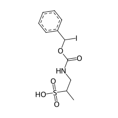 CC(CNC(=O)OC(I)c1ccccc1)S(=O)(=O)O